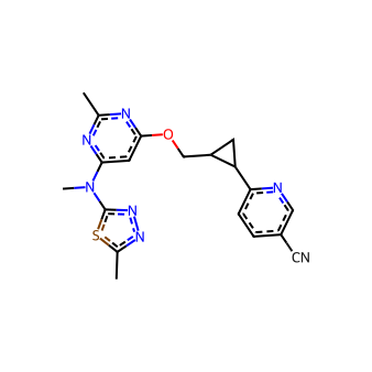 Cc1nc(OCC2CC2c2ccc(C#N)cn2)cc(N(C)c2nnc(C)s2)n1